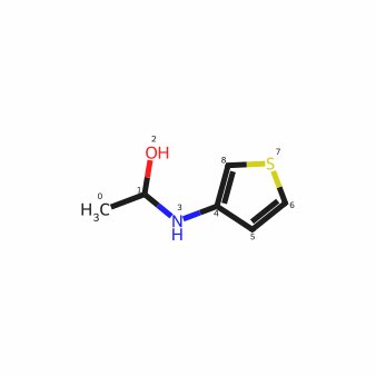 CC(O)Nc1ccsc1